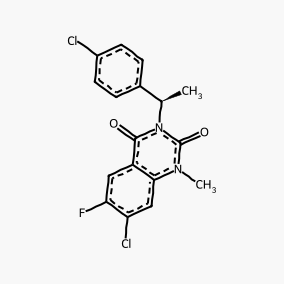 C[C@H](c1ccc(Cl)cc1)n1c(=O)c2cc(F)c(Cl)cc2n(C)c1=O